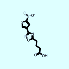 O=C(O)CCCc1nc(-c2csc([N+](=O)[O-])c2)no1